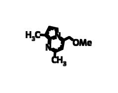 COCc1cc(C)nc2c(C)ccn12